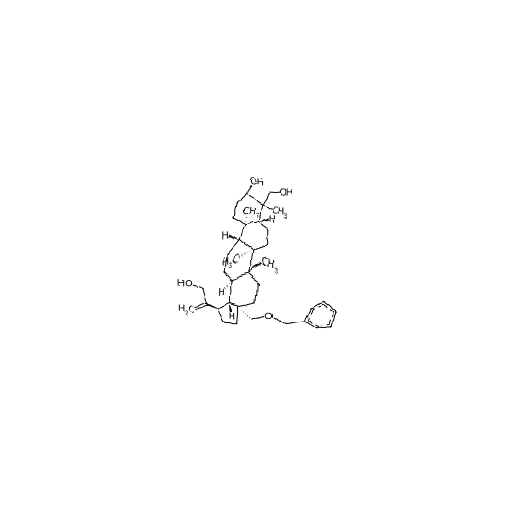 C=C(CO)[C@@H]1CC[C@]2(COCc3ccccc3)CC[C@]3(C)[C@H](CC[C@@H]4[C@@]5(C)CCC(O)C(C)(CO)[C@@H]5CC[C@]43C)[C@@H]12